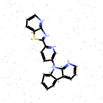 c1cnc2nc(-c3ccc(-n4c5ccccc5c5cccnc54)cn3)sc2c1